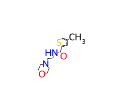 Cc1csc(C(=O)NCCN2CCOCC2)c1